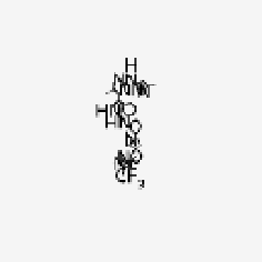 Cc1cnc(Nc2cc(C)n(C)n2)nc1-c1c[nH]c2c(NC(=O)CN3CCC(Oc4cc(C(F)(F)F)n(C)n4)C3)cccc12